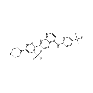 FC(F)(F)c1ccc(Nc2ccnc3nc(-c4nnc(N5CCOCC5)cc4C(F)(F)F)ccc23)nc1